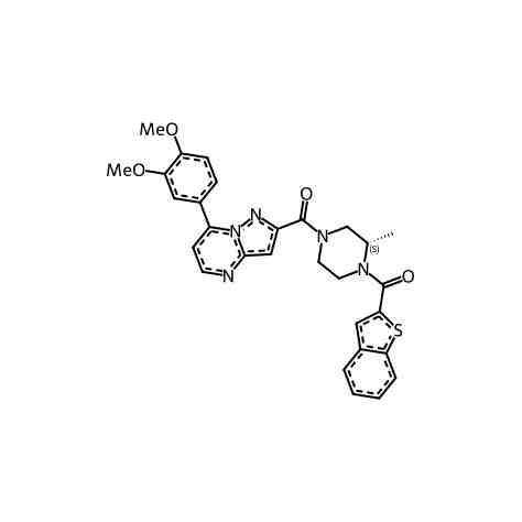 COc1ccc(-c2ccnc3cc(C(=O)N4CCN(C(=O)c5cc6ccccc6s5)[C@@H](C)C4)nn23)cc1OC